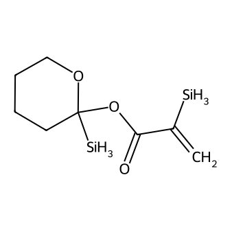 C=C([SiH3])C(=O)OC1([SiH3])CCCCO1